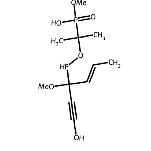 CC=CC(C#CO)(OC)POC(C)(C)P(=O)(O)OC